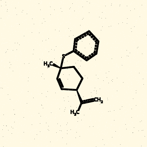 C=C(C)[C@H]1C=C[C@](C)(Sc2ccccc2)CC1